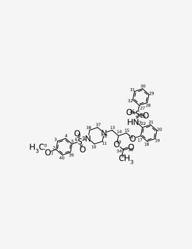 COc1ccc(S(=O)(=O)N2CCN(CC(COc3ccccc3NS(=O)(=O)c3ccccc3)OC(C)=O)CC2)cc1